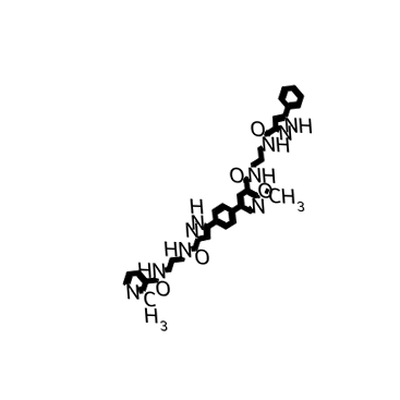 COc1ncc(-c2ccc(-c3cc(C(=O)NCCCNC(=O)c4cccnc4C)n[nH]3)cc2)cc1C(=O)NCCCNC(=O)c1cc(-c2ccccc2)[nH]n1